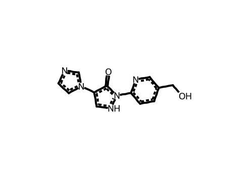 O=c1c(-n2ccnc2)c[nH]n1-c1ccc(CO)cn1